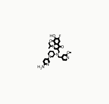 COc1cc(CN(Cc2cn3c4c(c(O)c(F)cc4c2=O)OCC3C)[C@H]2CCCN(c3ccc(N)nc3)C2)ccn1